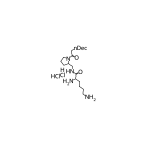 CCCCCCCCCCCC(=O)N1CCCC1CNC(=O)C(N)CCCCN.Cl.Cl